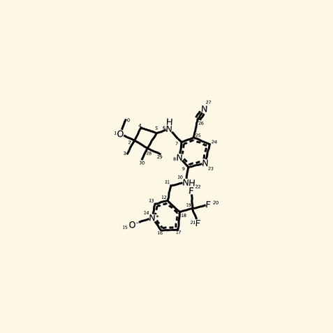 COC1(C)CC(Nc2nc(NCc3c[n+]([O-])ccc3C(F)(F)F)ncc2C#N)C1(C)C